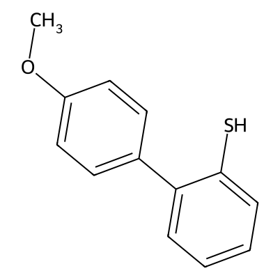 COc1ccc(-c2ccccc2S)cc1